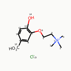 C[N+](C)(C)CCOc1cc(C(=O)O)ccc1O.[Cl-]